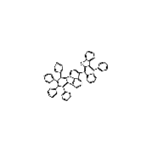 c1ccc(-c2c(-c3ccccc3)c(-c3ccccc3)c3c(c2-c2ccccc2)-c2cccc4c(-c5c6ccccc6c(-c6ccccc6)c6c5sc5ccccc56)ccc-3c24)cc1